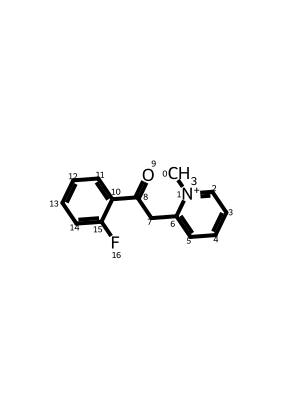 C[n+]1ccccc1CC(=O)c1ccccc1F